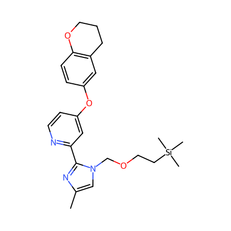 Cc1cn(COCC[Si](C)(C)C)c(-c2cc(Oc3ccc4c(c3)CCCO4)ccn2)n1